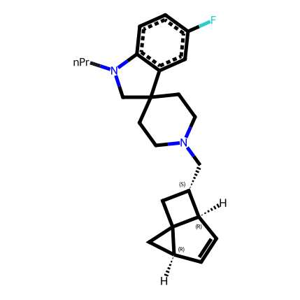 CCCN1CC2(CCN(C[C@H]3CC45C[C@@H]4C=C[C@H]35)CC2)c2cc(F)ccc21